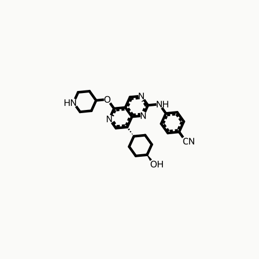 N#Cc1ccc(Nc2ncc3c(OC4CCNCC4)ncc([C@H]4CC[C@H](O)CC4)c3n2)cc1